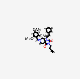 C#CCCN1C(=O)N(CCc2ccccc2)C2(CCN(Cc3c(OC)cc(OC)cc3OC)CC2)C1=O